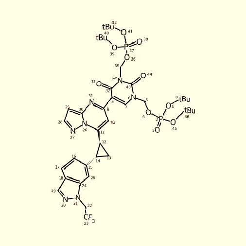 CC(C)(C)OP(=O)(OCn1cc(-c2cc([C@H]3C[C@@H]3c3ccc4cnn(CC(F)(F)F)c4c3)n3nccc3n2)c(=O)n(COP(=O)(OC(C)(C)C)OC(C)(C)C)c1=O)OC(C)(C)C